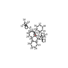 C[CH]=[Zr]([Cl])([Cl])([CH]1C=C(CCO[Si](C)(C)C)c2ccccc21)[CH]1c2ccccc2-c2ccccc21